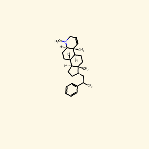 CN1CC=C[C@]2(C)[C@H]3CC[C@]4(C)[C@@H](CC(c5ccccc5)C(F)(F)F)CC[C@H]4[C@@H]3CC[C@@H]12